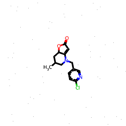 CC1CC2OC(=O)C=C2N(Cc2ccc(Cl)nc2)C1